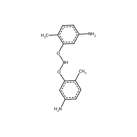 Cc1ccc(N)cc1OBOc1cc(N)ccc1C